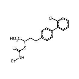 CCNC(=O)SC(CCc1ccc(-c2ccccc2Cl)cc1)C(=O)O